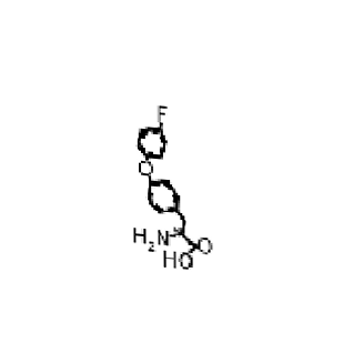 N[C@@H](Cc1ccc(Oc2ccc(F)cc2)cc1)C(=O)O